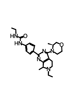 CCNC(=O)Nc1ccc(-c2nc3c(c(N4CCOC[C@@H]4C)n2)CCN(CC)C3C)cc1